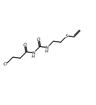 C=CSCCNC(=O)NC(=O)CCCl